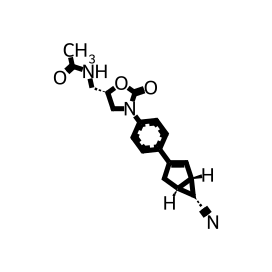 CC(=O)NC[C@H]1CN(c2ccc(C3=C[C@@H]4[C@H](C#N)[C@H]4C3)cc2)C(=O)O1